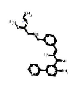 C/C=N/C(CNCc1cccc(/C=C(\N)C(=N)c2cc(-c3cccnc3)ccc2N)c1)=N\N